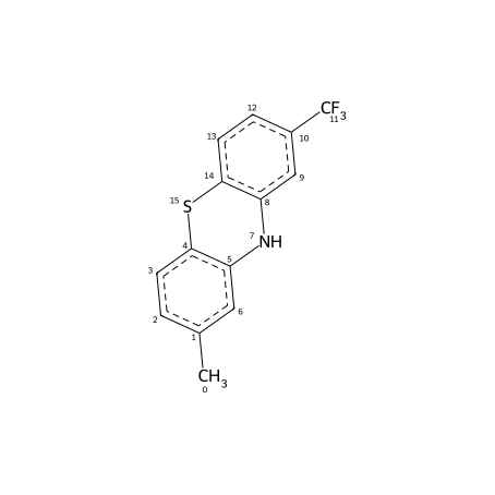 Cc1ccc2c(c1)Nc1cc(C(F)(F)F)ccc1S2